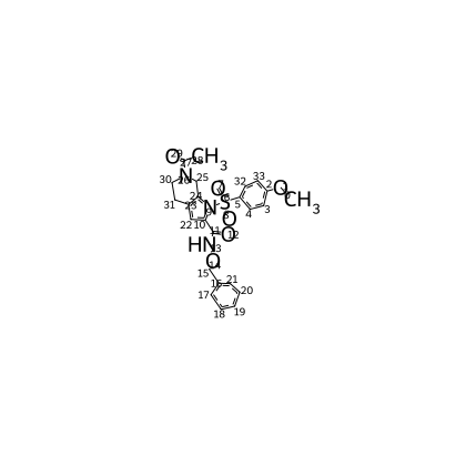 COc1ccc(S(=O)(=O)n2c(C(=O)NOCc3ccccc3)cc3c2CN(C(C)=O)CC3)cc1